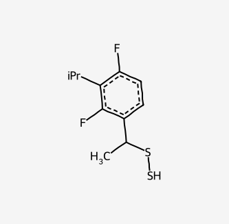 CC(C)c1c(F)ccc(C(C)SS)c1F